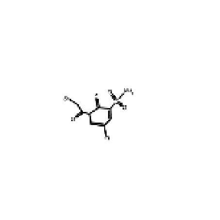 NS(=O)(=O)C1=CC(Cl)=CC(C(=O)CBr)C1=S